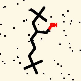 CC(C)(C)CCCC(CO)CC(C)(C)C